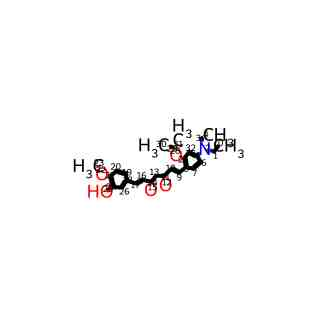 CCN(CC)c1ccc(C=CC(=O)CC(=O)C=Cc2ccc(OC)c(O)c2)c(OC(C)C)c1